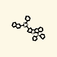 c1ccc(-c2nc(-c3ccc4ccccc4c3)nc(-c3ccc4oc5c(N(c6ccccc6)c6ccccc6)c6ccccc6cc5c4c3)n2)cc1